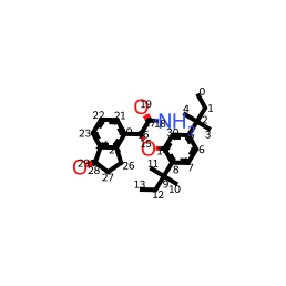 CCC(C)(C)c1ccc(C(C)(C)CC)c(OC(C(N)=O)c2cccc3c2CCC3=O)c1